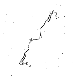 C=CC[N]OCC=C